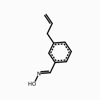 C=CCc1cccc(C=NO)c1